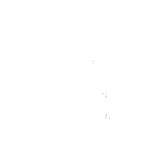 CC(C)C(F)(F)c1ccnn1C